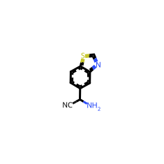 N#CC(N)c1ccc2scnc2c1